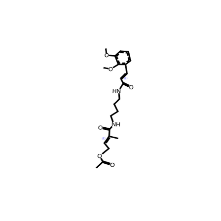 COc1cccc(/C=C/C(=O)NCCCCNC(=O)/C(C)=C/COC(C)=O)c1OC